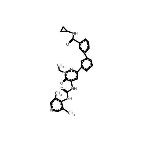 CCn1nc(-c2cccc(-c3cccc(C(=O)NC4CC4)c3)c2)cc(NC(=O)Nc2c(C)cncc2C)c1=O